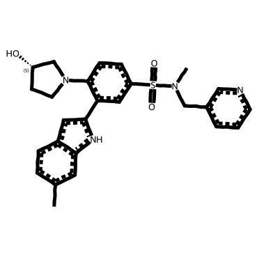 Cc1ccc2cc(-c3cc(S(=O)(=O)N(C)Cc4cccnc4)ccc3N3CC[C@H](O)C3)[nH]c2c1